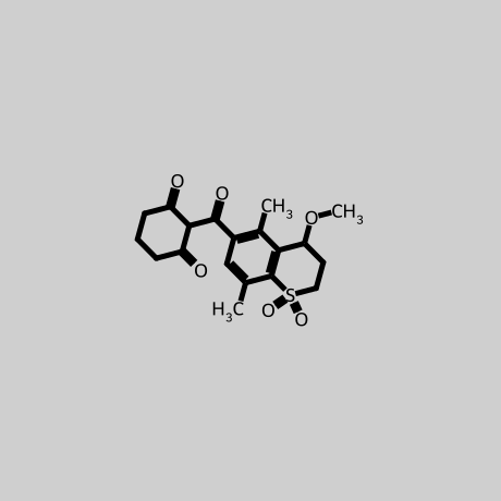 COC1CCS(=O)(=O)c2c(C)cc(C(=O)C3C(=O)CCCC3=O)c(C)c21